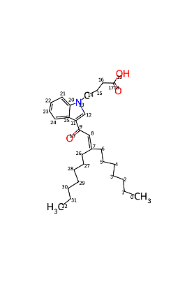 CCCCCCCC(=CC(=O)c1cn(CCCC(=O)O)c2ccccc12)CCCCCCC